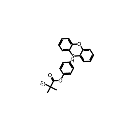 CCC(C)(C)C(=O)Oc1ccc([SH]2c3ccccc3Oc3ccccc32)cc1